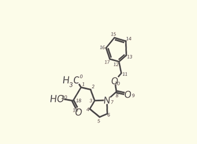 CC(CC1CCCN1C(=O)OCc1ccccc1)C(=O)O